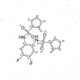 O=S(=O)(Nc1cc(F)c(F)cc1NS(=O)(=O)c1cccs1)c1cccs1